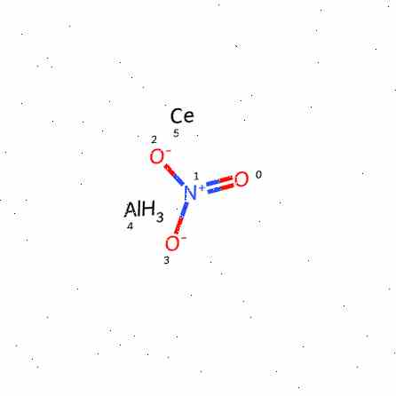 O=[N+]([O-])[O-].[AlH3].[Ce]